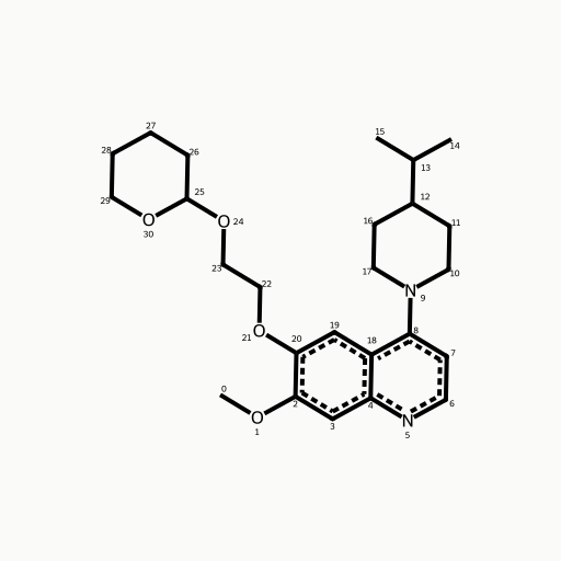 COc1cc2nccc(N3CCC(C(C)C)CC3)c2cc1OCCOC1CCCCO1